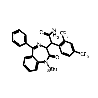 CC[C@H](C)N1C(=O)C(C(C(N)=O)c2ccc(C(F)(F)F)cc2C(F)(F)F)N=C(c2ccccc2)c2ccccc21